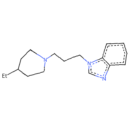 CCC1CCN(CCCn2cnc3ccccc32)CC1